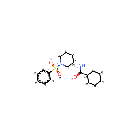 O=C(N[C@H]1CCCN(S(=O)(=O)c2ccccc2)C1)C1CCCCC1